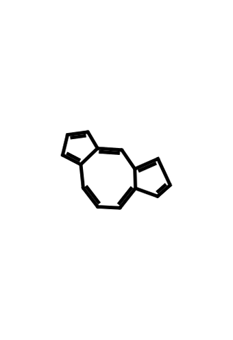 c1cc2cccc-2cc2cccc-2c1